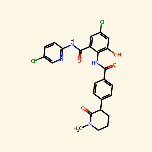 CN1CCCC(c2ccc(C(=O)Nc3c(O)cc(Cl)cc3C(=O)Nc3ccc(Cl)cn3)cc2)C1=O